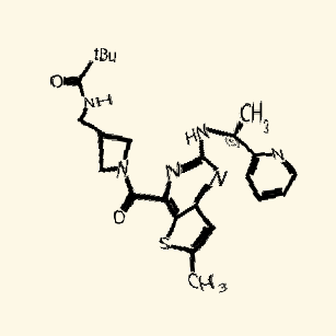 Cc1cc2nc(N[C@@H](C)c3ccccn3)nc(C(=O)N3CC(CNC(=O)C(C)(C)C)C3)c2s1